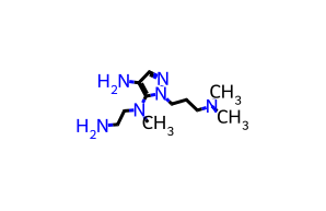 CN(C)CCCn1ncc(N)c1N(C)CCN